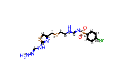 NN=CNc1nc(CSCCNC=NS(=O)(=O)c2ccc(Br)cc2)cs1